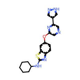 c1cc2nc(NC3CCCCC3)sc2cc1Oc1cncc(-c2cn[nH]c2)n1